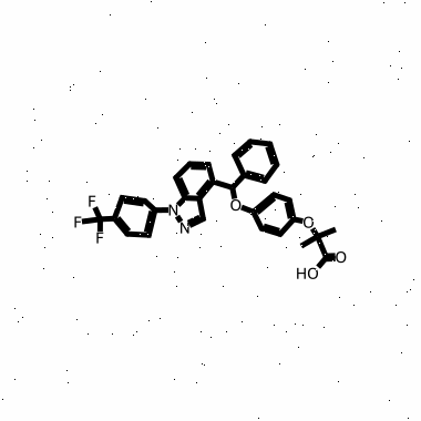 CC(C)(Oc1ccc(OC(c2ccccc2)c2cccc3c2cnn3-c2ccc(C(F)(F)F)cc2)cc1)C(=O)O